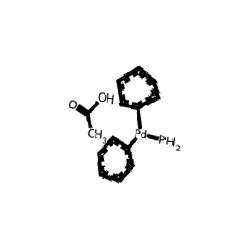 CC(=O)O.[PH2][Pd]([c]1ccccc1)[c]1ccccc1